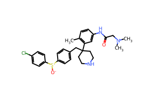 Cc1ccc(NC(=O)CN(C)C)cc1C1(Cc2ccc([S+]([O-])c3ccc(Cl)cc3)cc2)CCNCC1